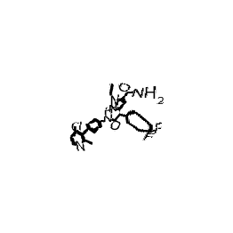 CCn1nc([C@@H](C(=O)Nc2ccc(-c3c(Cl)ccnc3C)cc2)C2CCC(F)(F)CC2)cc1C(N)=O